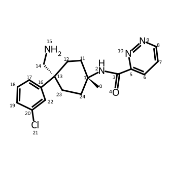 C[C@]1(NC(=O)c2cccnn2)CC[C@](CN)(c2cccc(Cl)c2)CC1